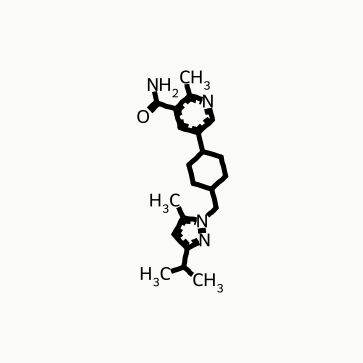 Cc1ncc(C2CCC(Cn3nc(C(C)C)cc3C)CC2)cc1C(N)=O